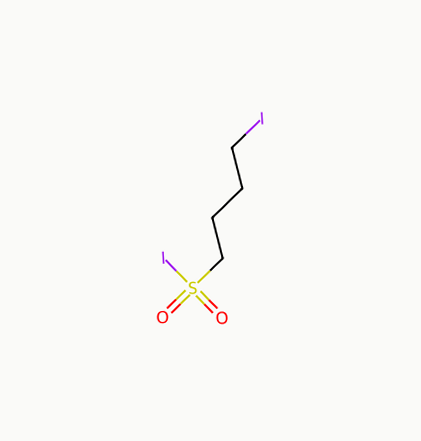 O=S(=O)(I)CCCCI